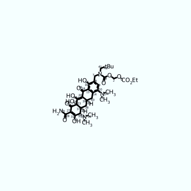 CCOC(=O)OCOC(=O)N(Cc1cc(N(C)C)c2c(c1O)C(=O)C1=C(O)[C@]3(O)C(=O)C(C(N)=O)=C(O)[C@@H](N(C)C)[C@@H]3C[C@@H]1C2)CC(C)(C)C